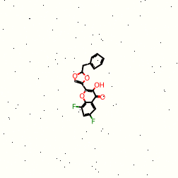 O=c1c(O)c(C2=COC(Cc3ccccc3)O2)oc2c(F)cc(F)cc12